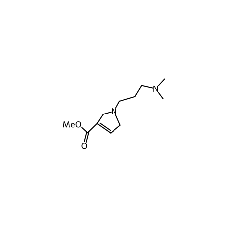 COC(=O)C1=CCN(CCCN(C)C)C1